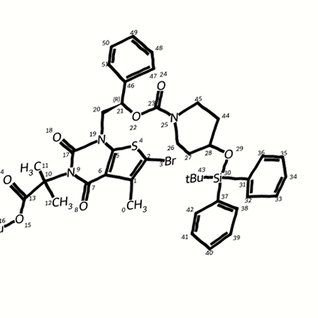 Cc1c(Br)sc2c1c(=O)n(C(C)(C)C(=O)OC(C)(C)C)c(=O)n2C[C@H](OC(=O)N1CCC(O[Si](c2ccccc2)(c2ccccc2)C(C)(C)C)CC1)c1ccccc1